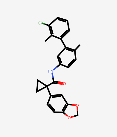 Cc1ccc(NC(=O)C2(c3ccc4c(c3)OCO4)CC2)cc1-c1cccc(Cl)c1C